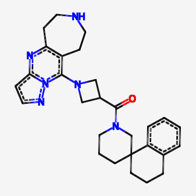 O=C(C1CN(c2c3c(nc4ccnn24)CCNCC3)C1)N1CCCC2(CCCc3ccccc32)C1